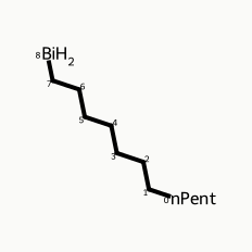 CCCCCCCCCCC[CH2][BiH2]